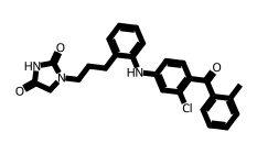 Cc1ccccc1C(=O)c1ccc(Nc2ccccc2CCCN2CC(=O)NC2=O)cc1Cl